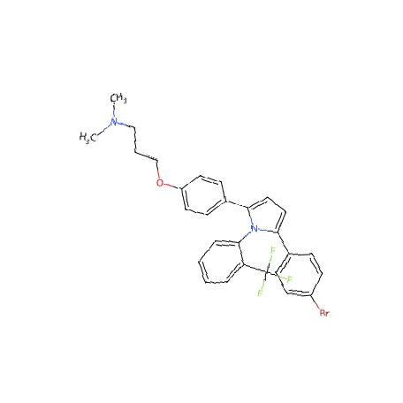 CN(C)CCCOc1ccc(-c2ccc(-c3ccc(Br)cc3)n2-c2ccccc2C(F)(F)F)cc1